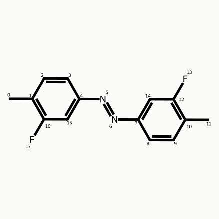 Cc1ccc(N=Nc2ccc(C)c(F)c2)cc1F